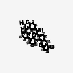 Cc1ccc(NC(=O)c2ccc(CN3C(=O)C=CC3=O)cc2)cc1Nc1nccc(-c2cccnc2)n1